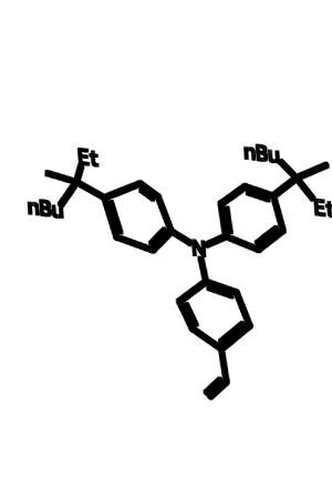 C=Cc1ccc(N(c2ccc(C(C)(CC)CCCC)cc2)c2ccc(C(C)(CC)CCCC)cc2)cc1